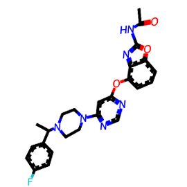 CC(=O)Nc1nc2c(Oc3cc(N4CCN(C(C)c5ccc(F)cc5)CC4)ncn3)cccc2o1